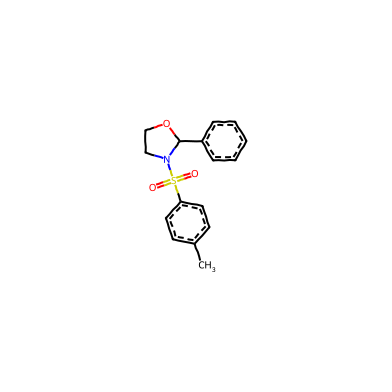 Cc1ccc(S(=O)(=O)N2CCOC2c2ccccc2)cc1